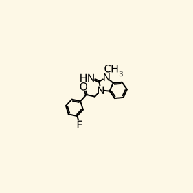 Cn1c(=N)n(CC(=O)c2cccc(F)c2)c2ccccc21